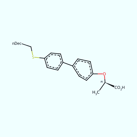 CCCCCCCCCCCSc1ccc(-c2ccc(O[C@H](C)C(=O)O)cc2)cc1